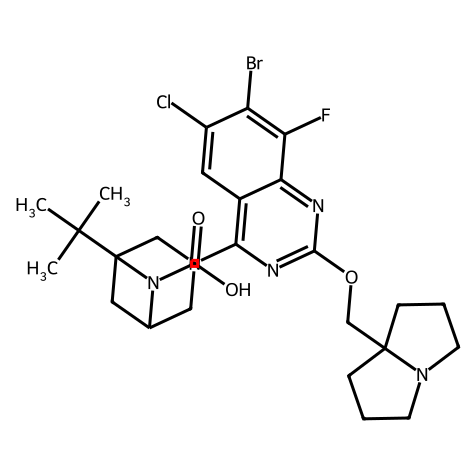 CC(C)(C)C12CC(CN(c3nc(OCC45CCCN4CCC5)nc4c(F)c(Br)c(Cl)cc34)C1)N2C(=O)O